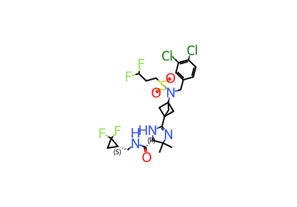 CC1(C)N=C(C23CC(N(Cc4ccc(Cl)c(Cl)c4)S(=O)(=O)CCC(F)F)(C2)C3)N[C@H]1C(=O)NC[C@@H]1CC1(F)F